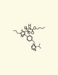 CCCCOC(=O)NS(=O)(=O)c1sc(CCC)nc1-c1ccc(Cn2ccnc2C(C)C)cc1